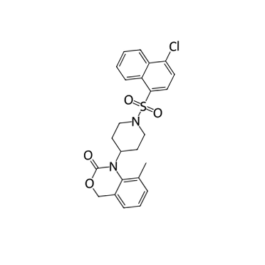 Cc1cccc2c1N(C1CCN(S(=O)(=O)c3ccc(Cl)c4ccccc34)CC1)C(=O)OC2